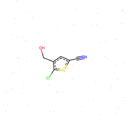 N#Cc1cc(CO)c(Cl)s1